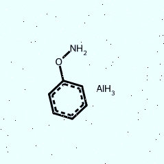 NOc1ccccc1.[AlH3]